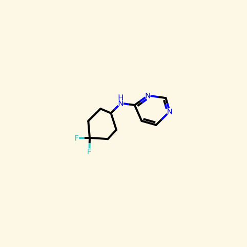 FC1(F)CCC(Nc2ccncn2)CC1